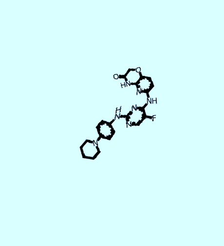 O=C1COc2ccc(Nc3nc(Nc4ccc(N5CCCCC5)cc4)ncc3F)nc2N1